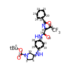 CC(C)(C)OC(=O)N1CC[C@H](Nc2ccc(NC(=O)c3nc(-c4ccccc4)oc3C(F)(F)F)cc2)C1